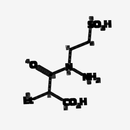 CCC(C(=O)O)C(=O)N(N)CCS(=O)(=O)O